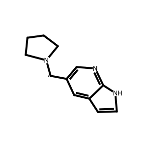 [C](c1cnc2[nH]ccc2c1)N1CCCC1